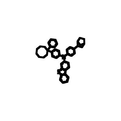 c1ccc(C2(c3ccc(N(c4ccc(C5CC6CCC5C6)cc4)c4ccc5c(c4)sc4ccccc45)cc3)CCCCCCC2)cc1